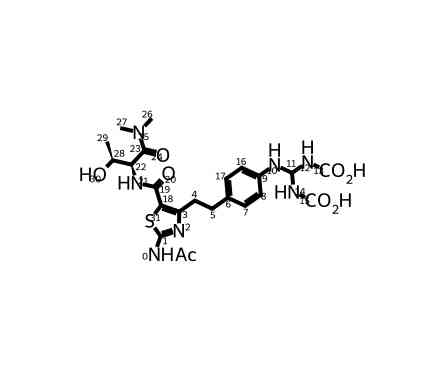 CC(=O)Nc1nc(CCc2ccc(NC(NC(=O)O)NC(=O)O)cc2)c(C(=O)N[C@H](C(=O)N(C)C)[C@H](C)O)s1